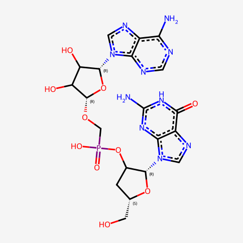 Nc1nc2c(ncn2[C@@H]2O[C@H](CO)CC2OP(=O)(O)CO[C@H]2O[C@@H](n3cnc4c(N)ncnc43)C(O)C2O)c(=O)[nH]1